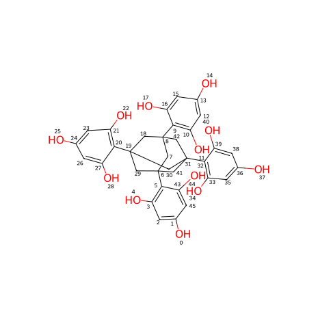 Oc1cc(O)c(C23CC4(c5c(O)cc(O)cc5O)CC(c5c(O)cc(O)cc5O)(C2)CC(c2c(O)cc(O)cc2O)(C3)C4)c(O)c1